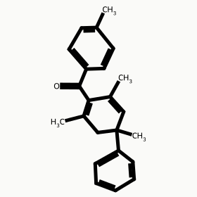 CC1=CC(C)(c2ccccc2)CC(C)=C1C(=O)c1ccc(C)cc1